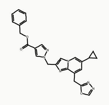 O=C(OCc1ccccc1)c1cnn(Cc2cn3cc(C4CC4)cc(Cc4nnco4)c3n2)c1